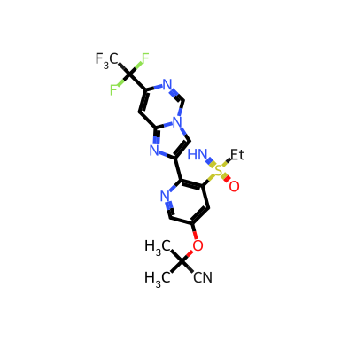 CCS(=N)(=O)c1cc(OC(C)(C)C#N)cnc1-c1cn2cnc(C(F)(F)C(F)(F)F)cc2n1